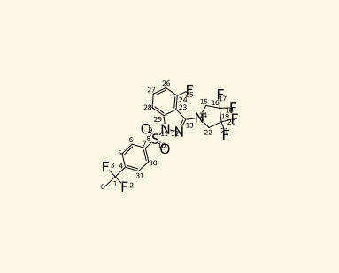 CC(F)(F)c1ccc(S(=O)(=O)n2nc(N3CC(F)(F)C(F)(F)C3)c3c(F)cccc32)cc1